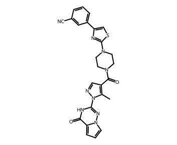 Cc1c(C(=O)N2CCN(c3nc(-c4cccc(C#N)c4)cs3)CC2)cnn1-c1nn2cccc2c(=O)[nH]1